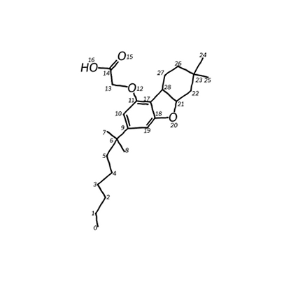 CCCCCCC(C)(C)c1cc(OCC(=O)O)c2c(c1)OC1CC(C)(C)CCC21